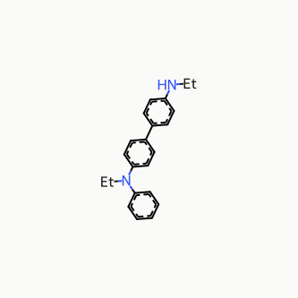 CCNc1ccc(-c2ccc(N(CC)c3ccccc3)cc2)cc1